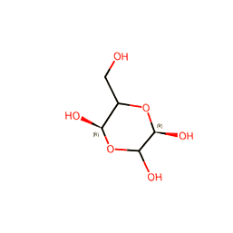 OCC1O[C@@H](O)C(O)O[C@H]1O